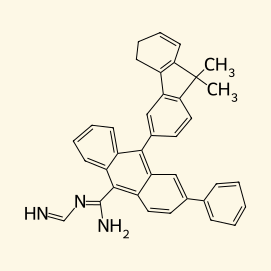 CC1(C)C2=C(CCC=C2)c2cc(-c3c4ccccc4c(/C(N)=N/C=N)c4ccc(-c5ccccc5)cc34)ccc21